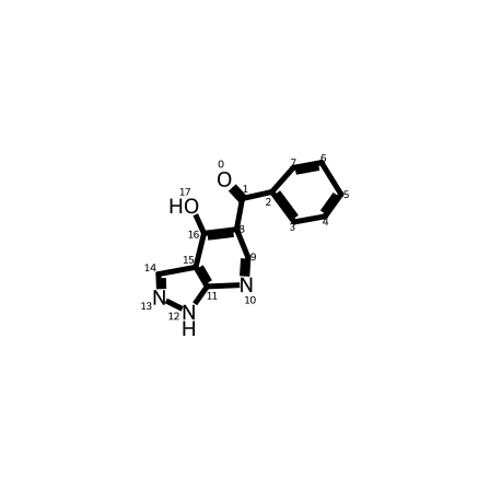 O=C(c1ccccc1)c1cnc2[nH]ncc2c1O